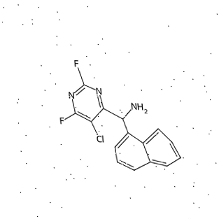 NC(c1nc(F)nc(F)c1Cl)c1cccc2c[c]ccc12